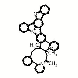 C=C1CC2(C)[n+]3ccccc3-c3cc4c5cc6c7ccccc7oc6c6c7ccccc7n(c4cc3C2(C)CCc2ccccc2-c2cccc[n+]21)c56